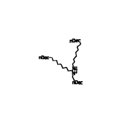 CCCCCCCCCCCCCCCCCCc1n(CCCCCCCCCCCC)cc[n+]1CCCCCCCCCCCCCCCCCC